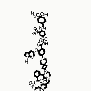 CC(C)c1ccccc1C1CN(Cc2cnn(C(C)C)c2)CCN1C1CC2(CCN(c3ccc(C(=O)NS(=O)(=O)c4ccc(NCC5CCC(C)(O)CC5)c([N+](=O)[O-])c4)c(Oc4cnc5[nH]ccc5c4)c3)CC2)C1